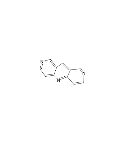 c1cc2nc3ccncc3cc2cn1